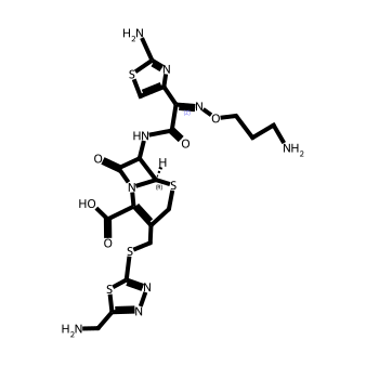 NCCCO/N=C(\C(=O)NC1C(=O)N2C(C(=O)O)=C(CSc3nnc(CN)s3)CS[C@H]12)c1csc(N)n1